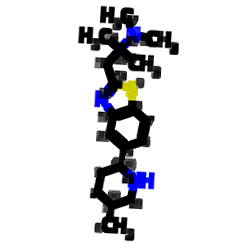 C[C@H]1CC[C@H](c2ccc3sc(CC(C)(C)N(C)C)nc3c2)NC1